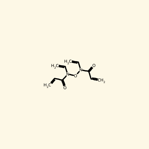 C=CC(=O)N(C=C)ON(C=C)C(=O)C=C